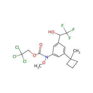 CON(C(=O)OCC(Cl)(Cl)Cl)c1cc(C(O)C(F)(F)F)cc(C2(C)CCC2)c1